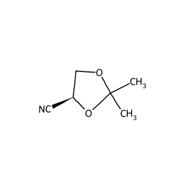 CC1(C)OC[C@H](C#N)O1